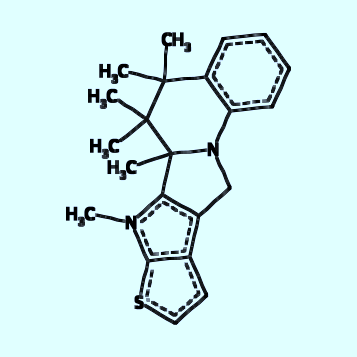 Cn1c2c(c3ccsc31)CN1c3ccccc3C(C)(C)C(C)(C)C21C